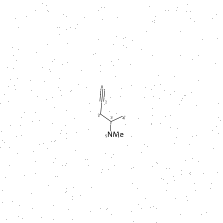 C#CCC([CH2])NC